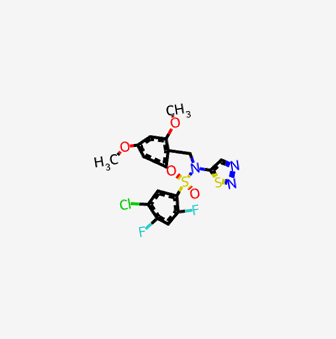 COc1ccc(CN(c2cnns2)S(=O)(=O)c2cc(Cl)c(F)cc2F)c(OC)c1